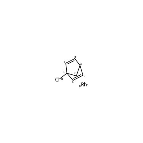 ClC12C=CC(C=C1)C2.[Rh]